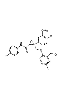 COCc1nc(C)ncc1OC[C@@]1(C2C=CC(F)=C(OC)C2)C[C@H]1C(=O)Nc1ccc(F)cc1